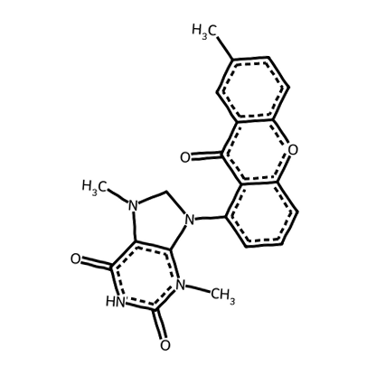 Cc1ccc2oc3cccc(N4CN(C)c5c4n(C)c(=O)[nH]c5=O)c3c(=O)c2c1